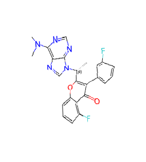 C[C@H](c1oc2cccc(F)c2c(=O)c1-c1cccc(F)c1)n1cnc2c(N(C)C)ncnc21